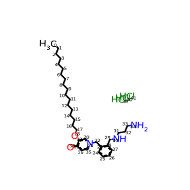 CCCCCCCCCCCCCCCCCCOc1cn(Cc2ccccc2CNCCCN)ccc1=O.Cl.Cl.Cl